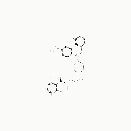 Cc1ncnc(C)c1C(=O)NCCC(C)N1CCC(N(Cc2cccc(F)c2)c2ccc([N+](=O)[O-])cc2)CC1